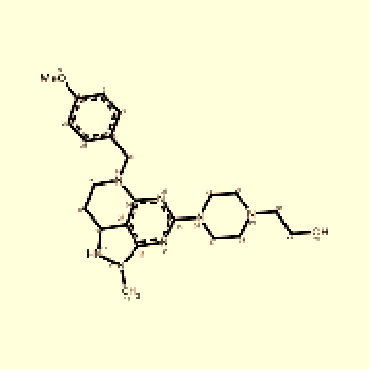 COc1ccc(CN2CCC3NN(C)c4nc(N5CCN(CCO)CC5)nc2c43)cc1